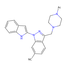 CC(=O)N1CCN(Cc2nn(-c3cc4ccccc4[nH]3)c3cc(C#N)ccc23)CC1